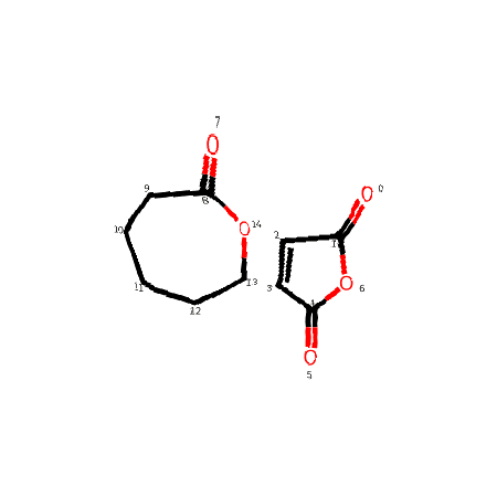 O=C1C=CC(=O)O1.O=C1CCCCCO1